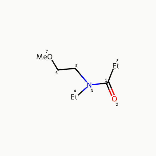 CCC(=O)N(CC)CCOC